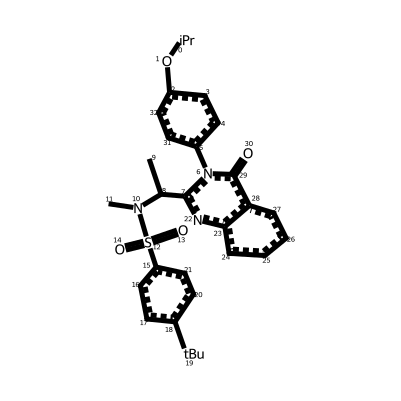 CC(C)Oc1ccc(-n2c(C(C)N(C)S(=O)(=O)c3ccc(C(C)(C)C)cc3)nc3ccccc3c2=O)cc1